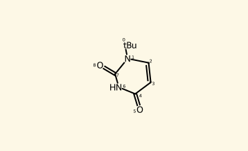 CC(C)(C)n1ccc(=O)[nH]c1=O